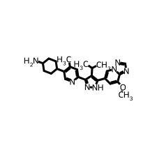 COc1cc(-c2[nH]nc(-c3cc(C)c(C4CCC(N)CC4)cn3)c2C(C)C)cn2ncnc12